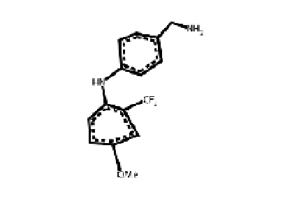 COc1ccc(Nc2ccc(CN)cc2)c(C(F)(F)F)c1